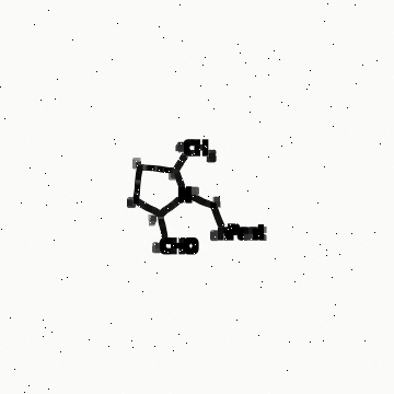 CCCCCCN1C(C)CCC1C=O